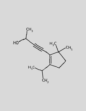 CC(O)C#CC1=C(C(C)C)CCC1(C)C